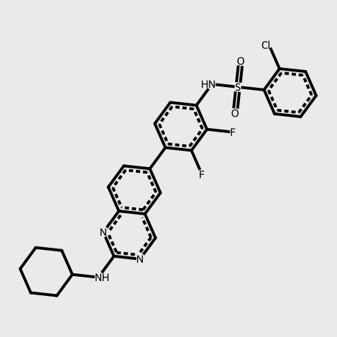 O=S(=O)(Nc1ccc(-c2ccc3nc(NC4CCCCC4)ncc3c2)c(F)c1F)c1ccccc1Cl